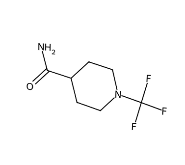 NC(=O)C1CCN(C(F)(F)F)CC1